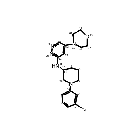 Fc1cccc(N2CCC[C@@H](Nc3cc(N4CCOCC4)cnn3)C2)c1